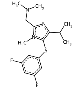 CC(C)c1nc(CN(C)C)n(C)c1Sc1cc(F)cc(F)c1